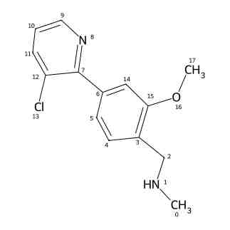 CNCc1ccc(-c2ncccc2Cl)cc1OC